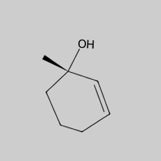 C[C@@]1(O)C=CCCC1